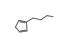 CCCCC1=CC[C]=C1